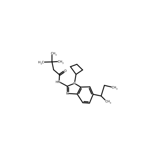 CCC(C)c1ccc2nc(NC(=O)CC(C)(C)C)n(C3CCC3)c2c1